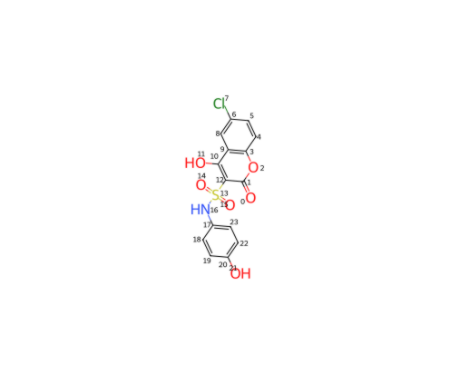 O=c1oc2ccc(Cl)cc2c(O)c1S(=O)(=O)Nc1ccc(O)cc1